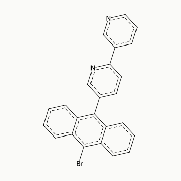 Brc1c2ccccc2c(-c2ccc(-c3cccnc3)nc2)c2ccccc12